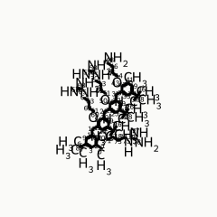 CCc1cc(C(C)(C)C)cc(Cc2cc(C(C)(C)C)cc(Cc3cc(C(C)(C)C)cc(Cc4cc(C(C)(C)C)cc(C)c4OCCCCN)c3OCCCCNC(=N)N)c2OCCCCNC(=N)N)c1OCCCCNC(=N)N